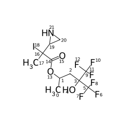 CC(CC(O)(C(F)(F)F)C(F)(F)F)OC(=O)C(C)(I)C1CN1